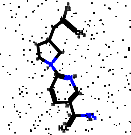 C=C(CC)CC1CCN(c2ccc(C(=C)N)cn2)C1